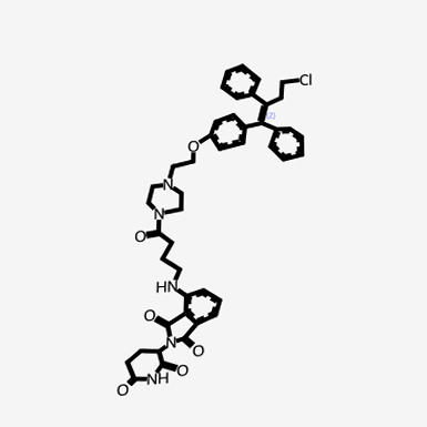 O=C1CCC(N2C(=O)c3cccc(NCCCC(=O)N4CCN(CCOc5ccc(/C(=C(/CCCl)c6ccccc6)c6ccccc6)cc5)CC4)c3C2=O)C(=O)N1